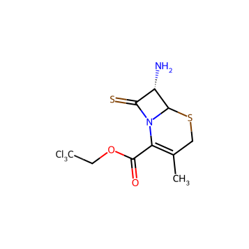 CC1=C(C(=O)OCC(Cl)(Cl)Cl)N2C(=S)[C@H](N)C2SC1